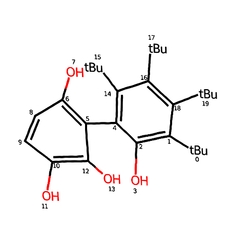 CC(C)(C)c1c(O)c(-c2c(O)ccc(O)c2O)c(C(C)(C)C)c(C(C)(C)C)c1C(C)(C)C